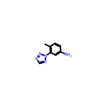 Cc1ccc(N)cc1-n1ncnn1